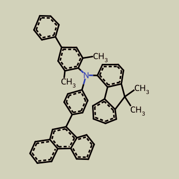 Cc1cc(-c2ccccc2)cc(C)c1N(c1ccc(-c2cc3ccccc3c3ccccc23)cc1)c1cccc2c1-c1ccccc1C2(C)C